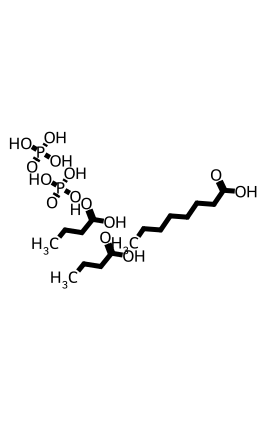 CCCC(=O)O.CCCC(=O)O.CCCCCCCC(=O)O.O=P(O)(O)O.O=P(O)(O)O